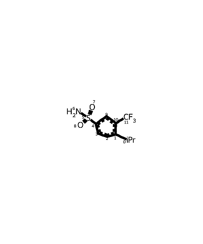 CC(C)c1ccc(S(N)(=O)=O)cc1C(F)(F)F